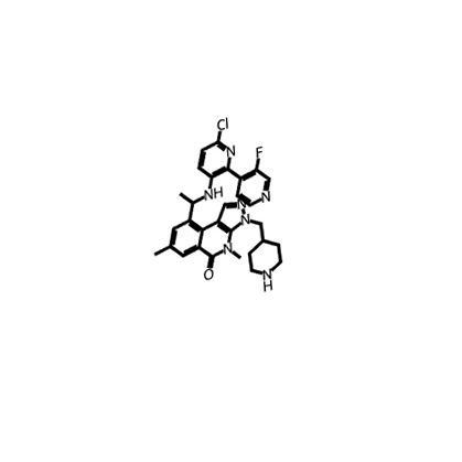 Cc1cc(C(C)Nc2ccc(Cl)nc2-c2ccncc2F)c2c(c1)c(=O)n(C)c1c2cnn1CC1CCNCC1